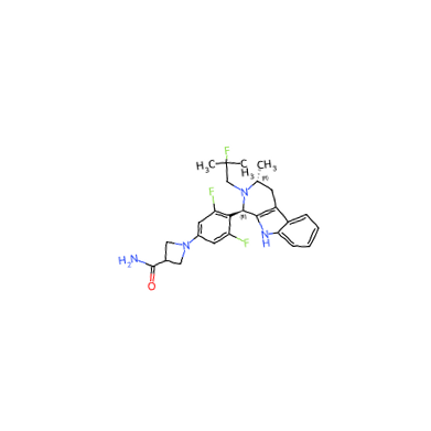 C[C@@H]1Cc2c([nH]c3ccccc23)[C@@H](c2c(F)cc(N3CC(C(N)=O)C3)cc2F)N1CC(C)(C)F